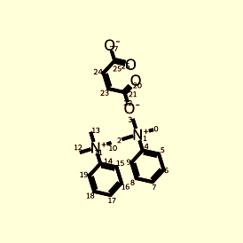 C[N+](C)(C)c1ccccc1.C[N+](C)(C)c1ccccc1.O=C([O-])/C=C\C(=O)[O-]